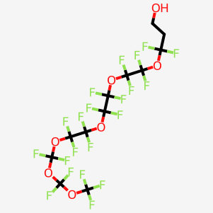 OCCC(F)(F)OC(F)(F)C(F)(F)OC(F)(F)C(F)(F)OC(F)(F)C(F)(F)OC(F)(F)OC(F)(F)OC(F)(F)F